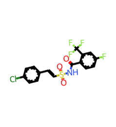 O=C(NS(=O)(=O)/C=C/c1ccc(Cl)cc1)c1ccc(F)cc1C(F)(F)F